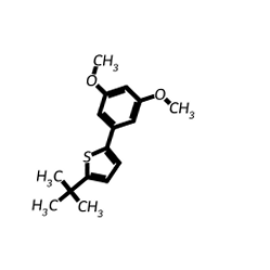 COc1cc(OC)cc(-c2ccc(C(C)(C)C)s2)c1